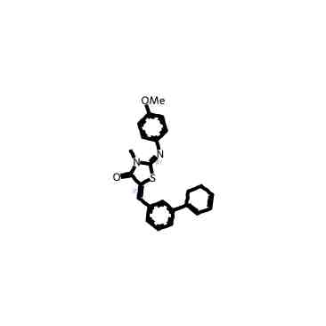 COc1ccc(/N=C2/S/C(=C\c3cccc(C4=CC=CCC4)c3)C(=O)N2C)cc1